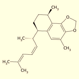 CC(C)=C/C=C\[C@H](C)[C@H]1CC[C@@H](C)c2c1cc(C)c1c2OCO1